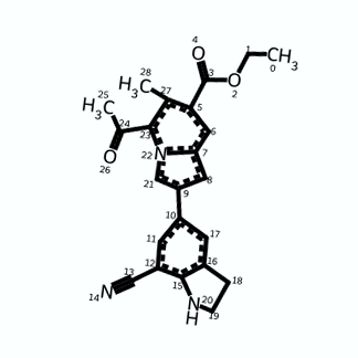 CCOC(=O)c1cc2cc(-c3cc(C#N)c4c(c3)CCN4)cn2c(C(C)=O)c1C